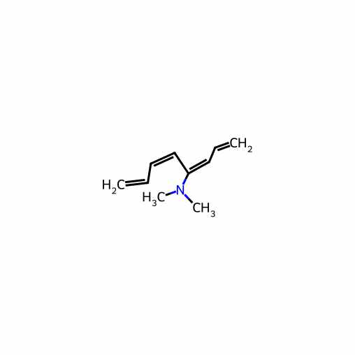 C=C/C=C\C(=C/C=C)N(C)C